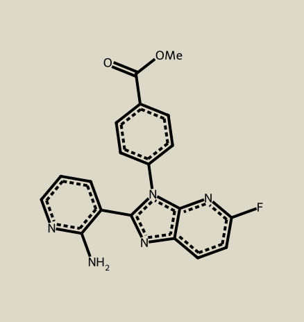 COC(=O)c1ccc(-n2c(-c3cccnc3N)nc3ccc(F)nc32)cc1